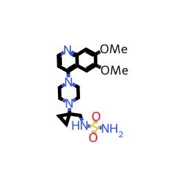 COc1cc2nccc(N3CCN(C4(CNS(N)(=O)=O)CC4)CC3)c2cc1OC